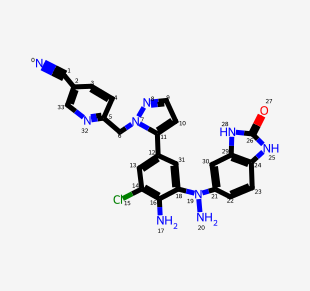 N#Cc1ccc(Cn2nccc2-c2cc(Cl)c(N)c(N(N)c3ccc4[nH]c(=O)[nH]c4c3)c2)nc1